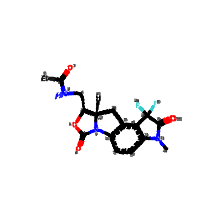 CCC(=O)NC[C@@H]1OC(=O)N2c3ccc4c(c3C[C@@H]12)C(F)(F)C(=O)N4C